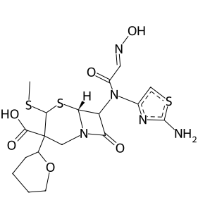 CSC1S[C@@H]2C(N(C(=O)C=NO)c3csc(N)n3)C(=O)N2CC1(C(=O)O)C1CCCCO1